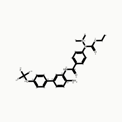 CCOC(=O)N(c1ccc(C(=O)Nc2cc(-c3ccc(OC(F)(F)F)cc3)ccc2N)cc1)N(C)C